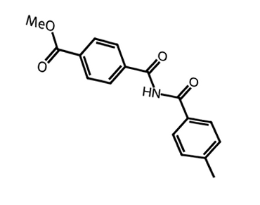 COC(=O)c1ccc(C(=O)NC(=O)c2ccc(C)cc2)cc1